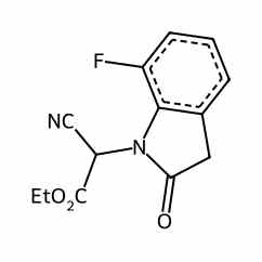 CCOC(=O)C(C#N)N1C(=O)Cc2cccc(F)c21